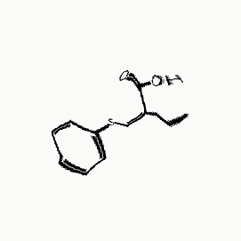 CCC(=CSc1ccccc1)C(=O)O